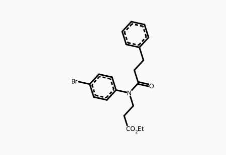 CCOC(=O)CCN(C(=O)CCc1ccccc1)c1ccc(Br)cc1